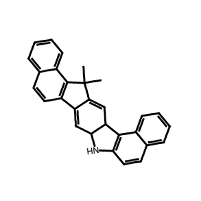 CC1(C)C2=CC3c4c(ccc5ccccc45)NC3C=C2c2ccc3ccccc3c21